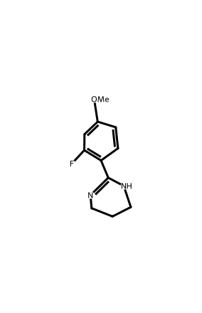 COc1ccc(C2=NCCCN2)c(F)c1